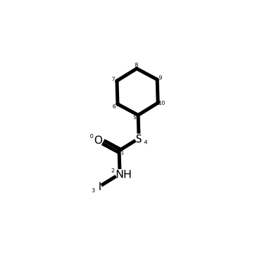 O=C(NI)SC1CCCCC1